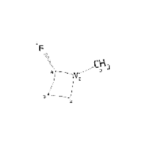 CN1CC[C@@H]1F